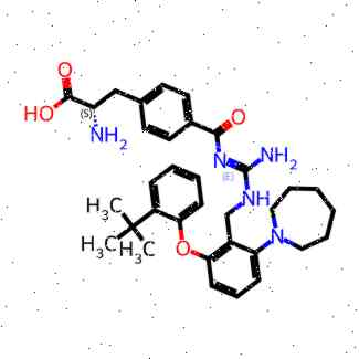 CC(C)(C)c1ccccc1Oc1cccc(N2CCCCCC2)c1CN/C(N)=N/C(=O)c1ccc(C[C@H](N)C(=O)O)cc1